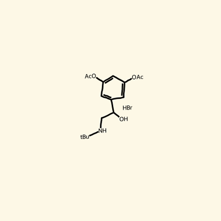 Br.CC(=O)Oc1cc(OC(C)=O)cc(C(O)CNC(C)(C)C)c1